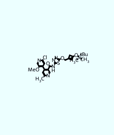 COc1cnc(Cl)cc1-c1cc(C)ncc1C(=O)Nc1nnc(OCC23CC(O[Si](C)(C)C(C)(C)C)(C2)C3)s1